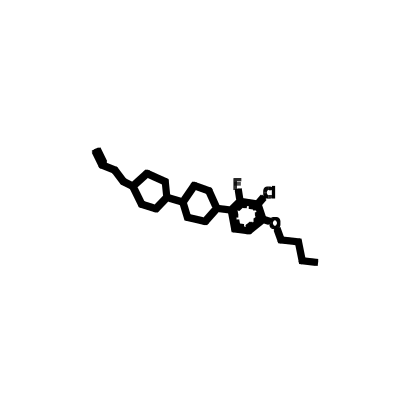 C=CCCC1CCC(C2CCC(c3ccc(OCCCC)c(Cl)c3F)CC2)CC1